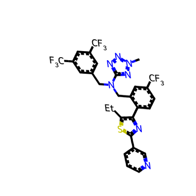 CCc1sc(-c2cccnc2)nc1-c1ccc(C(F)(F)F)cc1CN(Cc1cc(C(F)(F)F)cc(C(F)(F)F)c1)c1nnn(C)n1